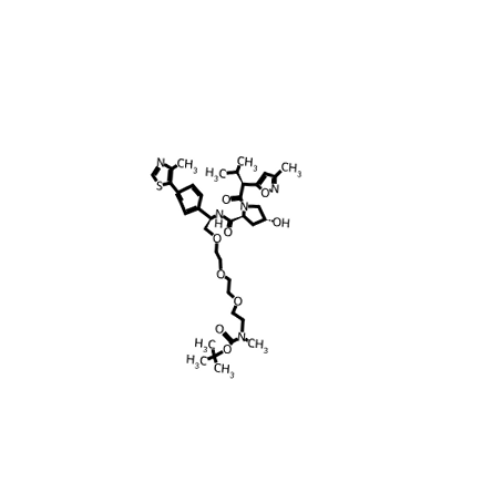 Cc1cc([C@@H](C(=O)N2C[C@H](O)C[C@H]2C(=O)N[C@@H](COCCOCCOCCN(C)C(=O)OC(C)(C)C)c2ccc(-c3scnc3C)cc2)C(C)C)on1